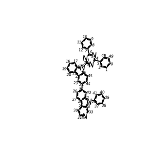 c1ccc(-c2nc(-c3ccccc3)nc(-n3c4ccccc4c4cc(-c5ccc6c7ccncc7n(-c7ccccc7)c6c5)ccc43)n2)cc1